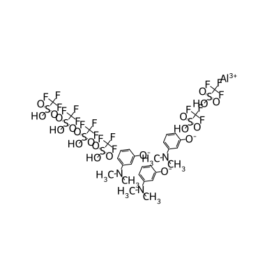 CN(C)c1cccc([O-])c1.CN(C)c1cccc([O-])c1.CN(C)c1cccc([O-])c1.O=S(=O)(O)C(F)(F)F.O=S(=O)(O)C(F)(F)F.O=S(=O)(O)C(F)(F)F.O=S(=O)(O)C(F)(F)F.O=S(=O)(O)C(F)(F)F.O=S(=O)(O)C(F)(F)F.[Al+3]